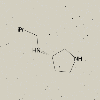 CC(C)CN[C@H]1CCNC1